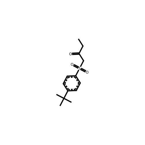 CCC(=O)CS(=O)(=O)c1ccc(C(C)(C)C)cc1